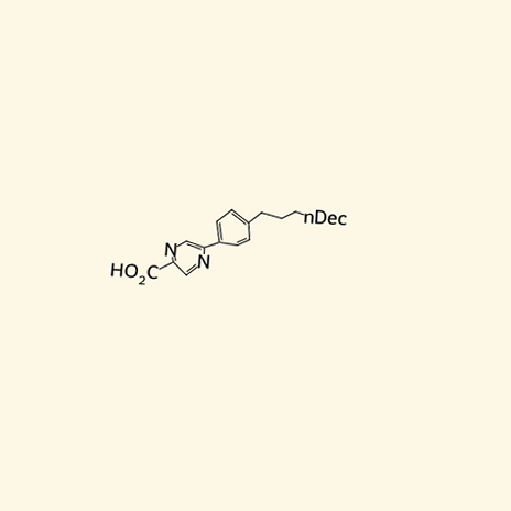 CCCCCCCCCCCCCc1ccc(-c2cnc(C(=O)O)cn2)cc1